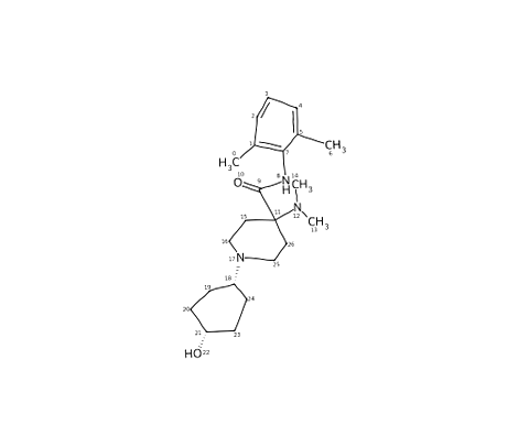 Cc1cccc(C)c1NC(=O)C1(N(C)C)CCN([C@H]2CC[C@@H](O)CC2)CC1